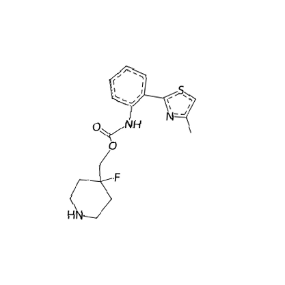 Cc1csc(-c2ccccc2NC(=O)OCC2(F)CCNCC2)n1